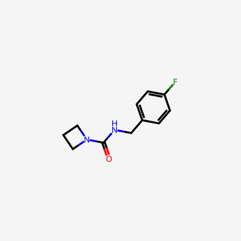 O=C(NCc1ccc(F)cc1)N1CCC1